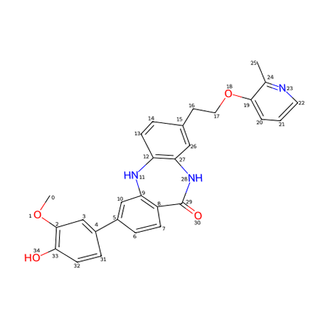 COc1cc(-c2ccc3c(c2)Nc2ccc(CCOc4cccnc4C)cc2NC3=O)ccc1O